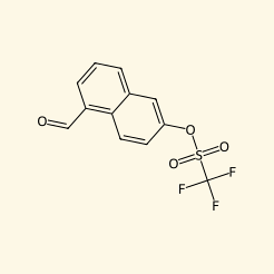 O=Cc1cccc2cc(OS(=O)(=O)C(F)(F)F)ccc12